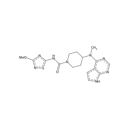 COc1nsc(NC(=O)N2CCC(N(C)c3ncnc4[nH]ccc34)CC2)n1